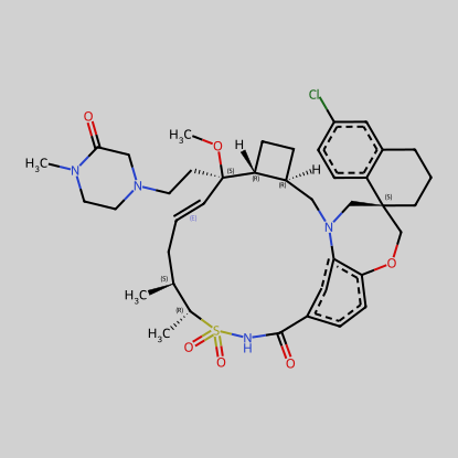 CO[C@]1(CCN2CCN(C)C(=O)C2)/C=C/C[C@H](C)[C@@H](C)S(=O)(=O)NC(=O)c2ccc3c(c2)N(C[C@@H]2CC[C@H]21)C[C@@]1(CCCc2cc(Cl)ccc21)CO3